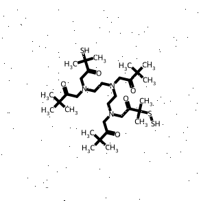 CC(C)(C)C(=O)CN(CCN(CC(=O)C(C)(C)C)CC(=O)C(C)(C)S)CCN(CC(=O)C(C)(C)C)CC(=O)C(C)(C)SS